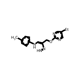 CCc1cnc(OC/C(=C/Nc2ccc(C)cc2)N=N)nc1